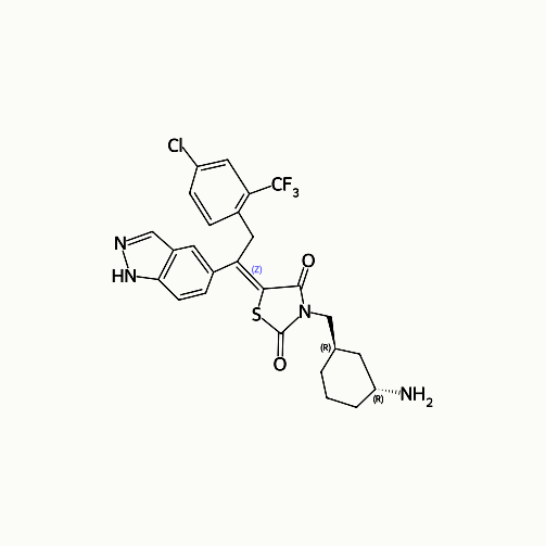 N[C@@H]1CCC[C@@H](CN2C(=O)S/C(=C(/Cc3ccc(Cl)cc3C(F)(F)F)c3ccc4[nH]ncc4c3)C2=O)C1